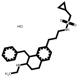 CCNC1CCc2ccc(CCCNS(=O)(=O)CC3CC3)cc2C1Cc1ccccc1.Cl